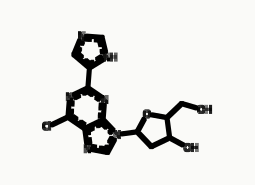 OCC1OC(n2cnc3c(Cl)nc(-c4cnc[nH]4)nc32)CC1O